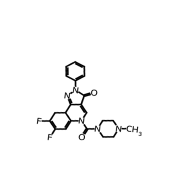 CN1CCN(C(=O)N2C=C3C(=O)N(c4ccccc4)N=C3C3CC(F)=C(F)C=C32)CC1